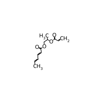 C=CC(=O)OC(C)COC(=O)/C=C/C=C/C